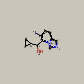 OC(c1c(I)ccc2cncn12)C1CC1